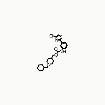 O=C(Nc1cccc(-c2nc(Cl)cs2)c1)OCC1CCN(CC2CCCCC2)CC1